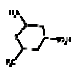 NC1CC(S(=O)(=O)O)CC(C(F)(F)F)S1